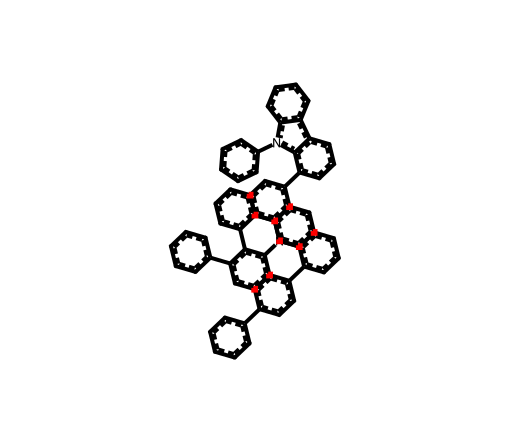 c1ccc(-c2ccc(-c3ccccc3N(c3cccc(-c4cccc5c6ccccc6n(-c6ccccc6)c45)c3)c3cccc(-c4ccccc4)c3-c3ccccc3-c3ccccc3)cc2)cc1